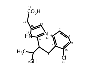 CC(S)C(Cc1ccccc1Cl)c1ncc(CC(=O)O)[nH]1